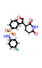 O=C1CCC(c2coc3ccc(S(=O)(=O)Nc4ccc(F)cc4)cc23)C(=O)N1